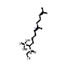 CC(C)=CCC/C(C)=C/CCCC([PH](=O)CO)P(=O)(O)O